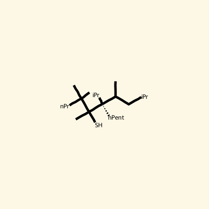 CCCCC[C@](C(C)C)(C(C)CC(C)C)C(C)(S)C(C)(C)CCC